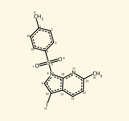 Cc1ccc(S(=O)(=O)n2cc(I)c3ccc(C)nc32)cc1